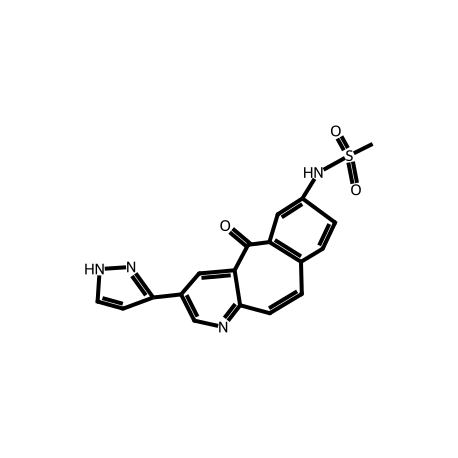 CS(=O)(=O)Nc1ccc2ccc3ncc(-c4cc[nH]n4)cc3c(=O)c2c1